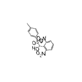 Cc1ccc(S(=O)(=O)C(O)c2c([N+](=O)[O-])cccc2[N+](=O)[O-])cc1